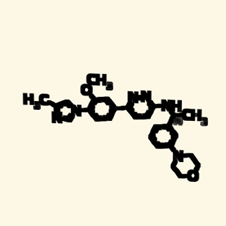 COc1cc(-c2ccc(N[C@@H](C)c3cccc(N4CCOCC4)c3)nn2)ccc1-n1cnc(C)c1